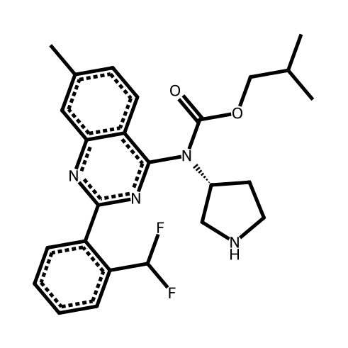 Cc1ccc2c(N(C(=O)OCC(C)C)[C@@H]3CCNC3)nc(-c3ccccc3C(F)F)nc2c1